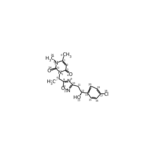 Cc1cc(=O)n([C@@H](C)c2nc(C[C@H](O)c3ccc(Cl)cc3)no2)c(=O)n1C